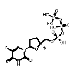 O=c1[nH]c(=S)c(F)cn1[C@H]1CC[C@@](F)(COP(=O)(O)OP(=O)(O)OP(=O)(O)O)O1